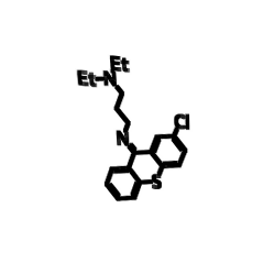 CCN(CC)CCCN=c1c2ccccc2sc2ccc(Cl)cc12